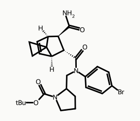 CC(C)(C)OC(=O)N1CCCC1CN(C(=O)[C@H]1[C@H](C(N)=O)[C@@H]2C=C[C@H]1C21CC1)c1ccc(Br)cc1